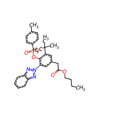 CCCCOC(=O)Cc1cc(-n2nc3ccccc3n2)c(OS(=O)(=O)c2ccc(C)cc2)c(C(C)(C)C)c1